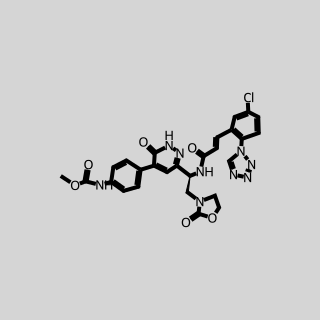 COC(=O)Nc1ccc(-c2cc([C@H](CN3CCOC3=O)NC(=O)/C=C/c3cc(Cl)ccc3-n3cnnn3)n[nH]c2=O)cc1